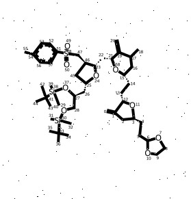 C=C1C[C@H](CCC2OCCO2)O[C@H]1CC[C@H]1CC(C)C(=C)[C@@H](C[C@@H]2O[C@H](C[C@@H](CO[Si](C)(C)C(C)(C)C)O[Si](C)(C)C(C)(C)C)C[C@H]2CS(=O)(=O)c2ccc(C)cc2)O1